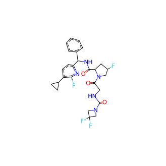 O=C(NC(c1ccccc1)c1ccc(C2CC2)c(F)n1)C1CC(F)CN1C(=O)CNC(=O)N1CC(F)(F)C1